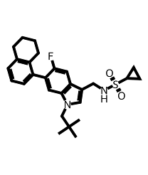 CC(C)(C)Cn1cc(CNS(=O)(=O)C2CC2)c2cc(F)c(-c3cccc4c3CCCC4)cc21